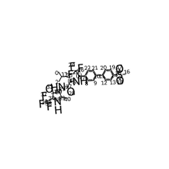 CC(C)C[C@H](N[C@@H](c1ccc(-c2ccc(S(C)(=O)=O)cc2)cc1)C(F)(F)F)C(=O)N[C@@H]1C(=O)C(C(F)(F)F)NC1C